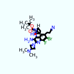 CN(C)C1CN(c2nc3c(F)c(Br)c(CCC#N)cc3c(N[C@@H]3[C@@H]4C[C@H]3N(C(=O)OC(C)(C)C)C4)c2N)C1